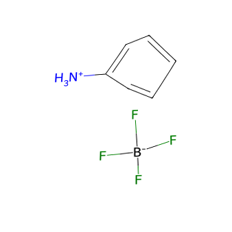 F[B-](F)(F)F.[NH3+]c1ccccc1